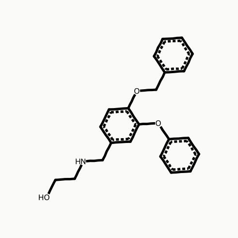 OCCNCc1ccc(OCc2ccccc2)c(Oc2ccccc2)c1